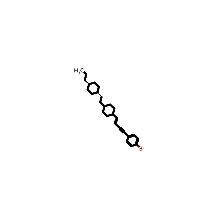 CCC[C@H]1CC[C@H](CCC2CCC(/C=C/C#Cc3ccc(Br)cc3)CC2)CC1